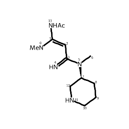 CN/C(=C\C(=N)N(C)[C@H]1CCCNC1)NC(C)=O